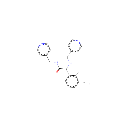 Cc1cccc(C(NCc2ccncc2)C(=O)NCc2ccncc2)c1C